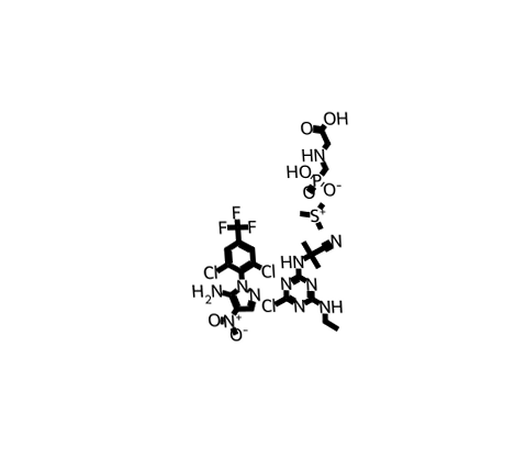 CCNc1nc(Cl)nc(NC(C)(C)C#N)n1.C[S+](C)C.Nc1c([N+](=O)[O-])cnn1-c1c(Cl)cc(C(F)(F)F)cc1Cl.O=C(O)CNCP(=O)([O-])O